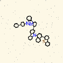 c1ccc(-c2ccc(Nc3ccccc3-c3cccc(-c4ccc5c6ccccc6n(-c6ccc(-c7cccc8c7sc7ccccc78)c7ccccc67)c5c4)c3)cc2)cc1